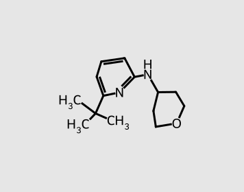 CC(C)(C)c1cccc(NC2CCOCC2)n1